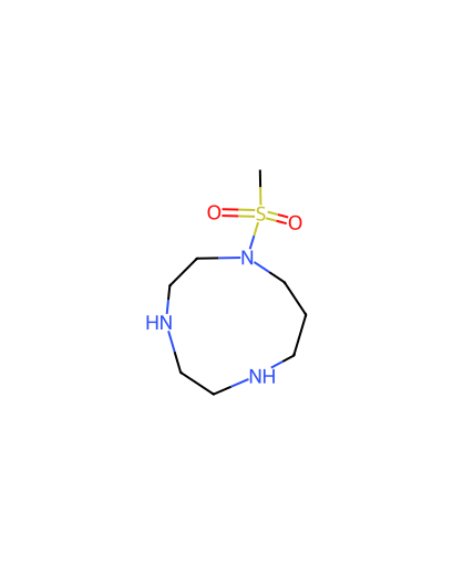 CS(=O)(=O)N1CCCNCCNCC1